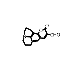 O=Cc1cc2cc3c4c(c2oc1=O)CCCN4CCC3